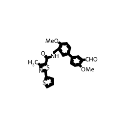 COc1ccc(-c2ccc(OC)c(CNC(=O)c3sc(-c4cccs4)nc3C)c2)cc1C=O